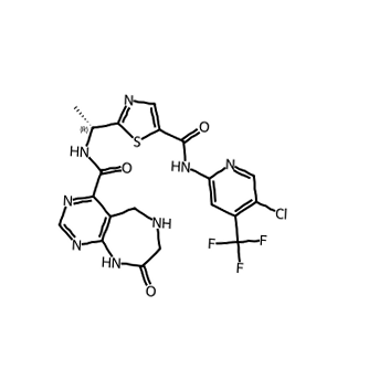 C[C@@H](NC(=O)c1ncnc2c1CNCC(=O)N2)c1ncc(C(=O)Nc2cc(C(F)(F)F)c(Cl)cn2)s1